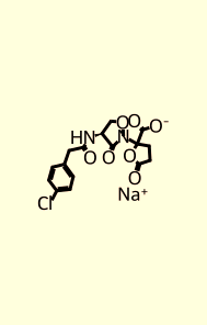 O=C(Cc1ccc(Cl)cc1)N[C@H]1CON(C2(C(=O)[O-])CCC(=O)O2)C1=O.[Na+]